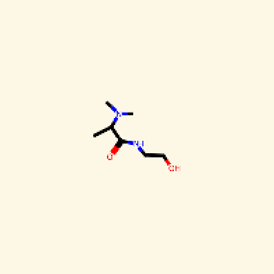 CC(C(=O)NCCO)N(C)C